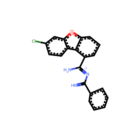 N=C(/N=C(\N)c1cccc2oc3cc(Cl)ccc3c12)c1ccccc1